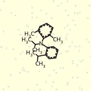 Cc1cccc(C)c1N(c1ccccc1C(C)C)C(C)C